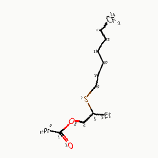 CCCC(=O)OCC(CC)SCCCCCCC(F)(F)F